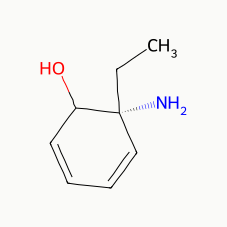 CC[C@@]1(N)C=CC=CC1O